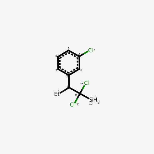 CCC(c1cccc(Cl)c1)C([SiH3])(Cl)Cl